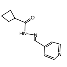 O=C(NN=Cc1ccncc1)C1CCC1